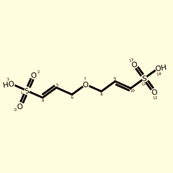 O=S(=O)(O)C=CCOCC=CS(=O)(=O)O